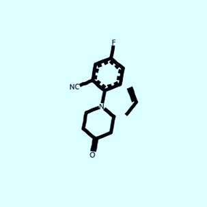 C=CC.N#Cc1cc(F)ccc1N1CCC(=O)CC1